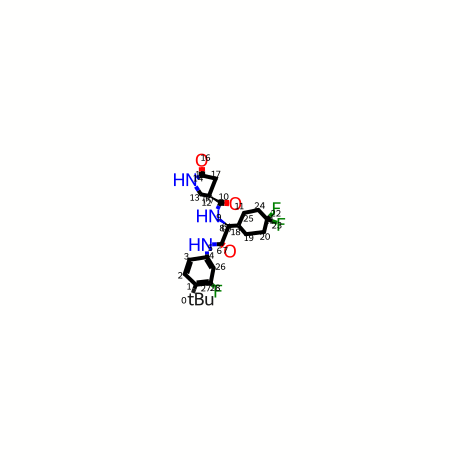 CC(C)(C)c1ccc(NC(=O)[C@@H](NC(=O)[C@H]2CNC(=O)C2)C2CCC(F)(F)CC2)cc1F